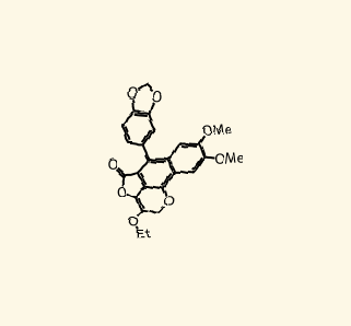 CCOC1=C2OC(=O)c3c2c(c2cc(OC)c(OC)cc2c3-c2ccc3c(c2)OCO3)OC1